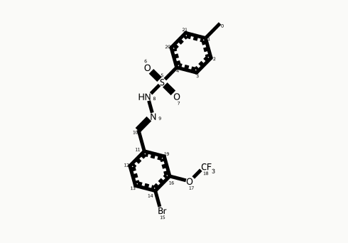 Cc1ccc(S(=O)(=O)NN=Cc2ccc(Br)c(OC(F)(F)F)c2)cc1